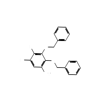 COc1cc(C=O)c(F)c(OCc2ccccc2)c1OCc1ccccc1